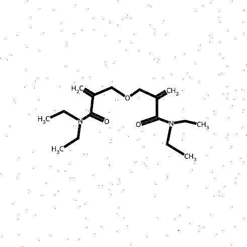 C=C(COCC(=C)C(=O)N(CC)CC)C(=O)N(CC)CC